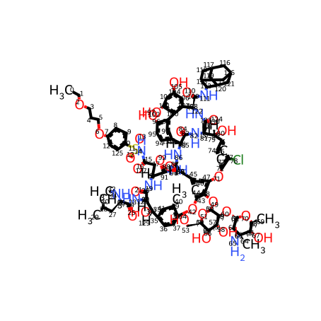 CCOCCCOc1ccc(S(=O)(=O)NC(=O)C[C@@H]2NC(=O)[C@H](NC(=O)[C@@H](CC(C)C)NC)[C@H](O)c3ccc(c(C)c3)Oc3cc4cc(c3O[C@@H]3O[C@H](CO)[C@@H](O)[C@H](O)[C@H]3O[C@H]3C[C@](C)(N)[C@H](O)[C@H](C)O3)Oc3ccc(cc3Cl)[C@@H](O)[C@@H]3NC(=O)[C@H](NC(=O)[C@@H]4NC2=O)c2ccc(O)c(c2)-c2c(O)cc(O)cc2[C@@H](C(=O)NC2C4CC5CC(C4)CC2C5)NC3=O)cc1